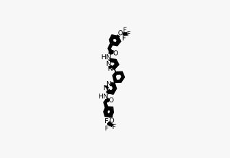 O=C(Cc1ccc(OC(F)(F)F)cc1)Nc1ccc([C@H]2CCC[C@H](c3ccc(NC(=O)Cc4ccc(OC(F)(F)F)cc4)nn3)C2)nn1